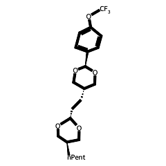 CCCCC[C@H]1CO[C@H](CC[C@H]2CO[C@H](c3ccc(OC(F)(F)F)cc3)OC2)OC1